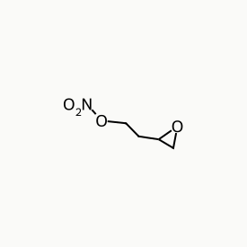 O=[N+]([O-])OCCC1CO1